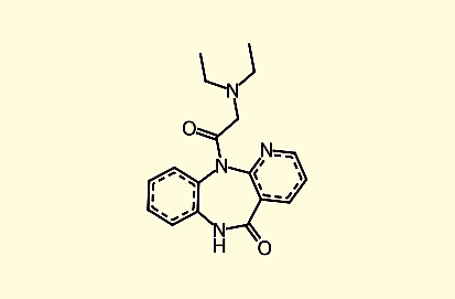 CCN(CC)CC(=O)N1c2ccccc2NC(=O)c2cccnc21